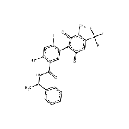 CC(NC(=O)c1cc(-n2c(=O)cc(C(F)(F)F)n(C)c2=O)c(F)cc1Cl)c1ccccc1